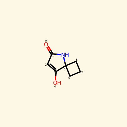 O=C1C=C(O)C2(CCC2)N1